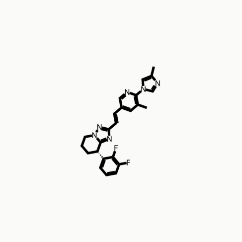 Cc1cn(-c2ncc(/C=C/c3nc4n(n3)CCC[C@H]4c3cccc(F)c3F)cc2C)cn1